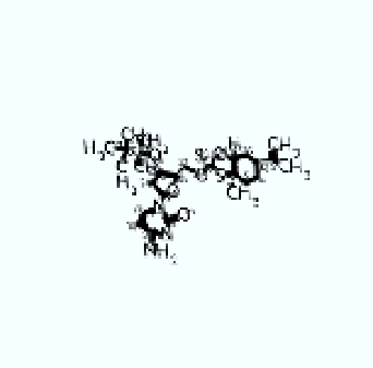 C=C(C)[C@H]1CC[C@@]2(C)S[P@](=S)(OC[C@H]3O[C@@H](n4ccc(N)nc4=O)C[C@@H]3O[Si](C)(C)C(C)(C)C)O[C@@H]2C1